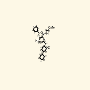 C=C(OCc1ccccc1)/C(=N\C(=N)Cc1ccc(-c2ccccc2)cc1Cl)C(=O)NCCOC